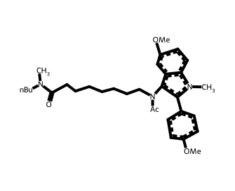 CCCCN(C)C(=O)CCCCCCCN(C(C)=O)c1c(-c2ccc(OC)cc2)n(C)c2ccc(OC)cc12